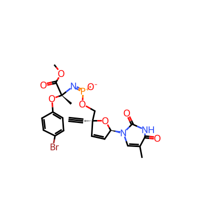 C#C[C@@]1(CO[P+]([O-])=N[C@](C)(Oc2ccc(Br)cc2)C(=O)OC)C=C[C@H](n2cc(C)c(=O)[nH]c2=O)O1